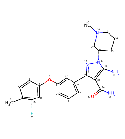 Cc1ccc(Oc2cccc(-c3nn(C4CCCN(C#N)C4)c(N)c3C(N)=O)c2)cc1F